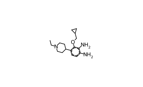 CCN1CCC(c2ccc(N)c(N)c2OCC2CC2)CC1